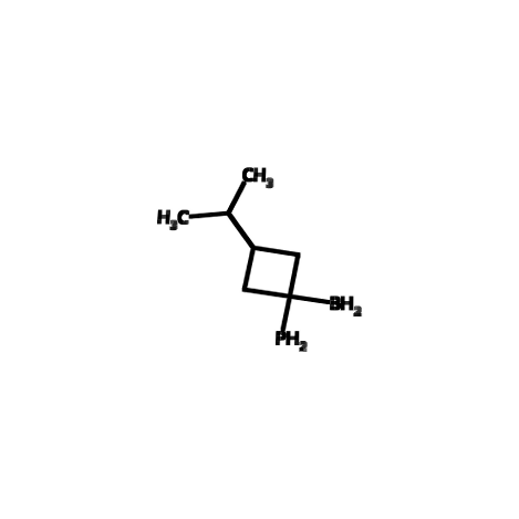 BC1(P)CC(C(C)C)C1